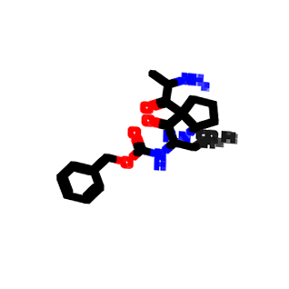 CCOC(=O)C1(N)CCCC1(C(=O)C(C)N)C(=O)C(CC(C)C)NC(=O)OCc1ccccc1